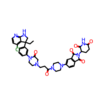 CCC1(c2cccc(N3CCN(CCC(=O)N4CCN(c5ccc6c(c5)C(=O)N(C5CCC(=O)NC5=O)C6=O)CC4)CC3=O)c2)CNc2nccc(Cl)c21